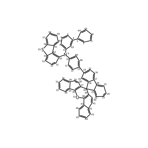 c1ccc(-c2cccc(N(c3ccc(-c4ccc5c(c4)C4(c6ccccc6-5)c5ccc6ccccc6c5Oc5c4ccc4ccccc54)cc3)c3cccc4sc5ccccc5c34)c2)cc1